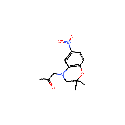 CC(=O)CN1CC(C)(C)Oc2ccc([N+](=O)[O-])cc21